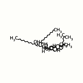 CCCCCCCCCCC(O)CN(CCNC(=O)O[C@H]1CC[C@@]2(C)C(=CC[C@H]3C4CC[C@H]([C@H](C)CCCC(C)C)[C@@]4(C)CC[C@@H]32)C1)CC(O)CCCCCCCCCC